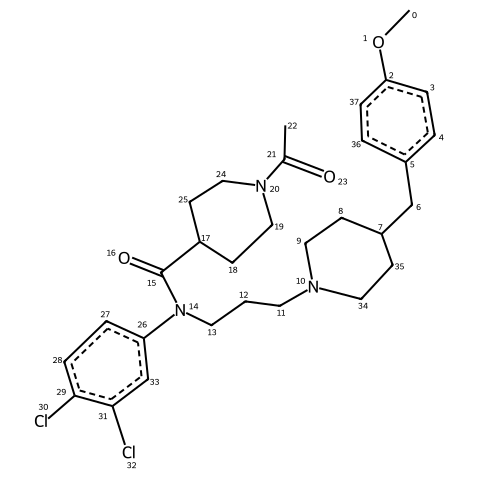 COc1ccc(CC2CCN(CCCN(C(=O)C3CCN(C(C)=O)CC3)c3ccc(Cl)c(Cl)c3)CC2)cc1